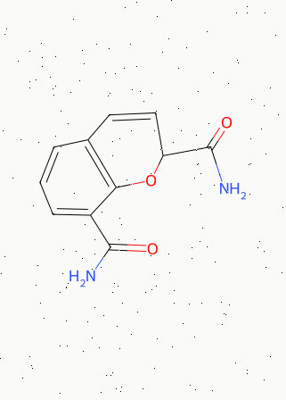 NC(=O)c1cccc2c1OC(C(N)=O)C=C2